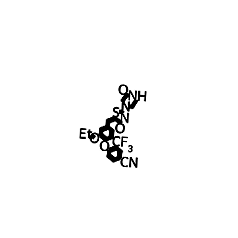 CCOc1cc(/C=C2/SC(N3CCNC(=O)C3)=NC2=O)ccc1Oc1ccc(C#N)cc1C(F)(F)F